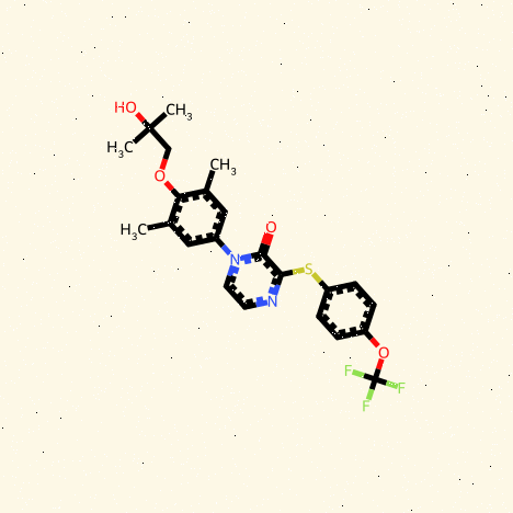 Cc1cc(-n2ccnc(Sc3ccc(OC(F)(F)F)cc3)c2=O)cc(C)c1OCC(C)(C)O